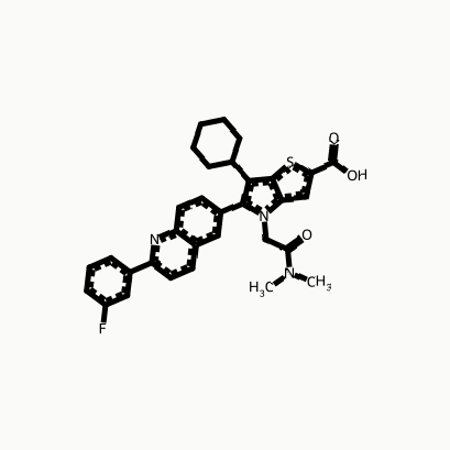 CN(C)C(=O)Cn1c(-c2ccc3nc(-c4cccc(F)c4)ccc3c2)c(C2CCCCC2)c2sc(C(=O)O)cc21